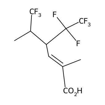 CC(=CC(C(C)C(F)(F)F)C(F)(F)C(F)(F)F)C(=O)O